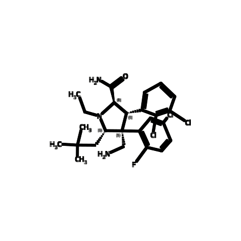 CCN1[C@@H](CC(C)(C)C)[C@](CN)(c2cc(Cl)ccc2F)[C@@H](c2cccc(Cl)c2Cl)[C@@H]1C(N)=O